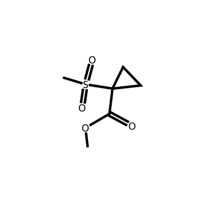 COC(=O)C1(S(C)(=O)=O)CC1